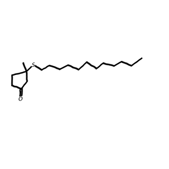 CCCCCCCCCCCCSC1(C)CCC(=O)C1